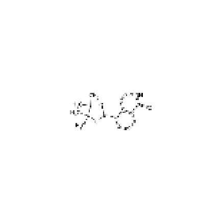 CC1(C)OB(c2cccc3c(=O)[nH]ccc23)OC1(C)C